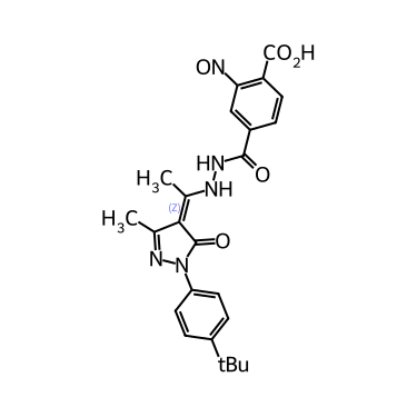 CC1=NN(c2ccc(C(C)(C)C)cc2)C(=O)/C1=C(/C)NNC(=O)c1ccc(C(=O)O)c(N=O)c1